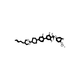 C/C=C/CCC1COC(C2CCC(c3ccc(-c4cc(F)c(C(F)(F)Oc5ccc(OC(F)(F)F)c(F)c5)c(F)c4)c(F)c3)CC2)OC1